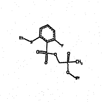 CCSc1cccc(F)c1S(=O)(=O)OCP(C)(=O)OC(C)C